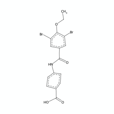 CCOc1c(Br)cc(C(=O)Nc2ccc(C(=O)O)cc2)cc1Br